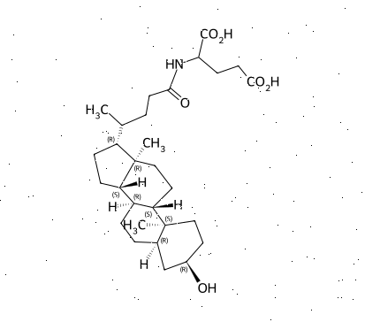 CC(CCC(=O)NC(CCC(=O)O)C(=O)O)[C@H]1CC[C@H]2[C@@H]3CC[C@@H]4C[C@H](O)CC[C@]4(C)[C@H]3CC[C@]12C